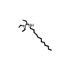 CCCCCCCCCCCCNC(CC)N(CC)CC